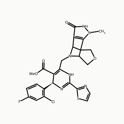 COC(=O)C1=C(CN2C3COCC34c3c(c(=O)[nH]n3C)C24)NC(c2nccs2)=N[C@H]1c1ccc(F)cc1Cl